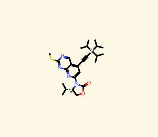 CSc1ncc2c(C#C[Si](C(C)C)(C(C)C)C(C)C)cc(N3C(=O)OC[C@@H]3C(C)C)nc2n1